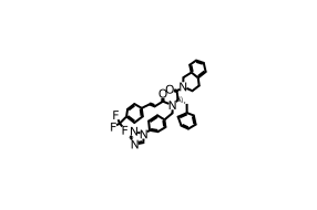 O=C([C@H](Cc1ccccc1)N(Cc1ccc(-n2cncn2)cc1)C(=O)C=Cc1ccc(C(F)(F)F)cc1)N1CCc2ccccc2C1